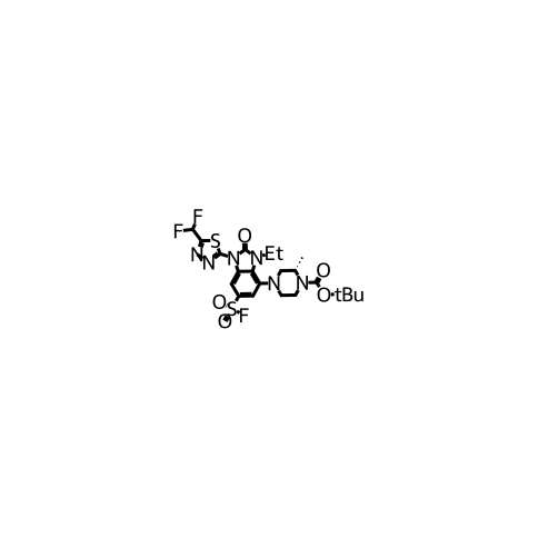 CCn1c(=O)n(-c2nnc(C(F)F)s2)c2cc(S(=O)(=O)F)cc(N3CCN(C(=O)OC(C)(C)C)[C@@H](C)C3)c21